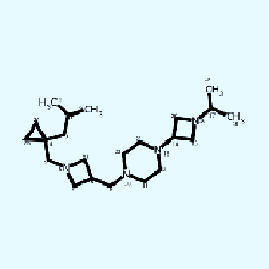 CC(C)CC1(CN2CC(CN3CCN(C4CN(C(C)C)C4)CC3)C2)CC1